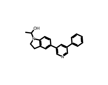 CC(O)N1CCc2cc(-c3cncc(-c4ccccc4)c3)ccc21